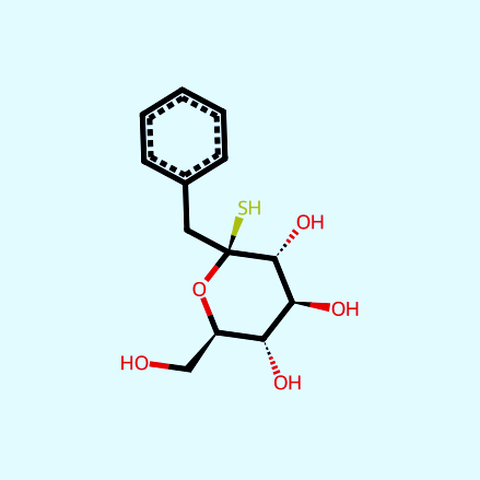 OC[C@H]1O[C@](S)(Cc2ccccc2)[C@H](O)[C@@H](O)[C@@H]1O